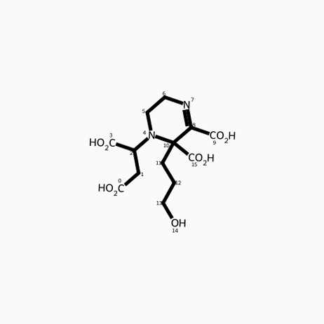 O=C(O)CC(C(=O)O)N1CCN=C(C(=O)O)C1(CCCO)C(=O)O